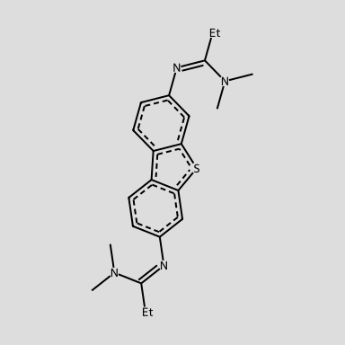 CCC(=Nc1ccc2c(c1)sc1cc(N=C(CC)N(C)C)ccc12)N(C)C